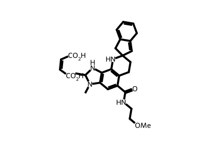 COCCNC(=O)c1cc2c(c3c1CCC1(C=C4CC=CC=C4C1)N3)NC(C)N2C.O=C(O)/C=C\C(=O)O